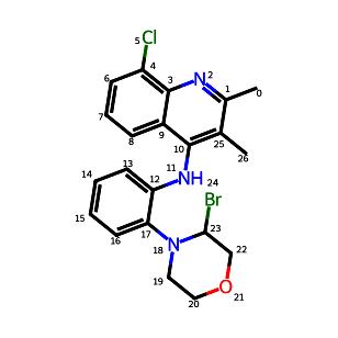 Cc1nc2c(Cl)cccc2c(Nc2ccccc2N2CCOCC2Br)c1C